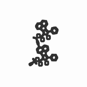 C#CC(C)(C)OC(=O)C1=C2C(=C(c3ccccc3)C1=O)c1cccc3c(C#CC(C)OC(=O)C4=C5C(=C(c6ccccc6)C4=O)c4cccc6cccc5c46)ccc2c13